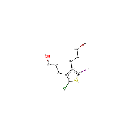 OCCCc1c(Cl)sc(I)[si]1CCCBr